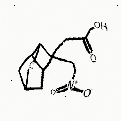 O=C(O)CC1(C[N+](=O)[O-])C2CC3CC2C1C3